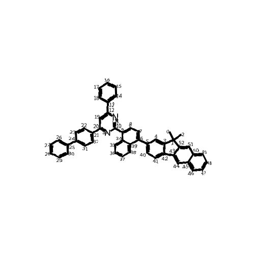 CC1(C)c2cc(-c3ccc(-c4nc(-c5ccccc5)cc(-c5ccc(-c6ccccc6)cc5)n4)c4ccccc34)ccc2-c2cc3ccccc3cc21